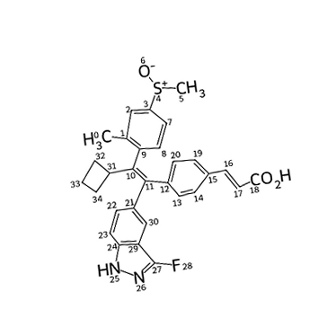 Cc1cc([S+](C)[O-])ccc1/C(=C(\c1ccc(/C=C/C(=O)O)cc1)c1ccc2[nH]nc(F)c2c1)C1CCC1